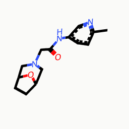 Cc1ccc(NC(=O)CN2CC3CCC(C2)O3)cn1